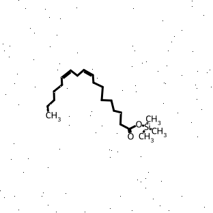 CCCCC/C=C\C/C=C\CCCCCCCC(=O)O[Si](C)(C)C